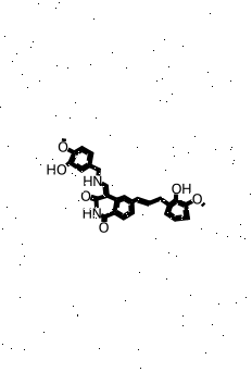 COc1ccc(CNC=C2C(=O)NC(=O)c3ccc(C=CCc4cccc(OC)c4O)cc32)cc1O